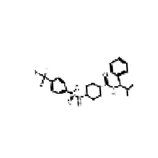 CC(C)C(NC(=O)[C@H]1CC[C@H](NS(=O)(=O)c2ccc(C(F)(F)F)cc2)CC1)c1ccccc1